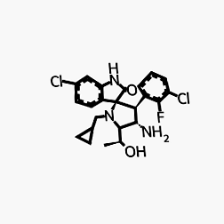 C[C@H](O)C1[C@@H](N)[C@H](c2cccc(Cl)c2F)[C@]2(C(=O)Nc3cc(Cl)ccc32)N1CC1CC1